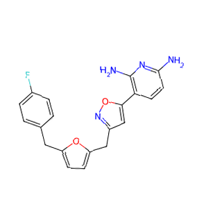 Nc1ccc(-c2cc(Cc3ccc(Cc4ccc(F)cc4)o3)no2)c(N)n1